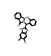 Cc1cc2[nH]c(C(c3ccccc3N=O)N3Cc4ccccc4C3=O)nc2cc1Cl